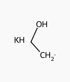 [CH2]CO.[KH]